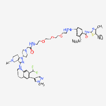 CC(=O)Nc1cc(NCCOCCOCCOCCNC(=O)CN2CCC(n3nc(N4CCCc5cc(-c6cnn(C)c6)c(C(F)F)cc54)c4c3CCN(C(C)=O)C4)CC2)ccc1C(=O)Nc1nc(C)c(N=O)s1